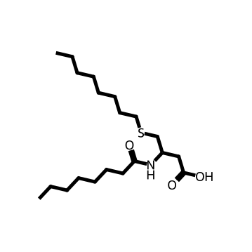 CCCCCCCCSCC(CC(=O)O)NC(=O)CCCCCCC